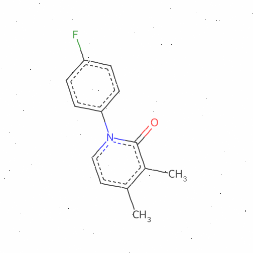 Cc1ccn(-c2ccc(F)cc2)c(=O)c1C